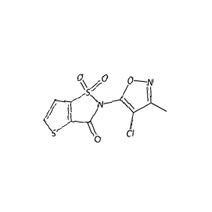 Cc1noc(N2C(=O)c3sccc3S2(=O)=O)c1Cl